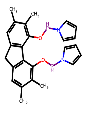 Cc1cc2c(c(OPn3cccc3)c1C)-c1c(cc(C)c(C)c1OPn1cccc1)C2